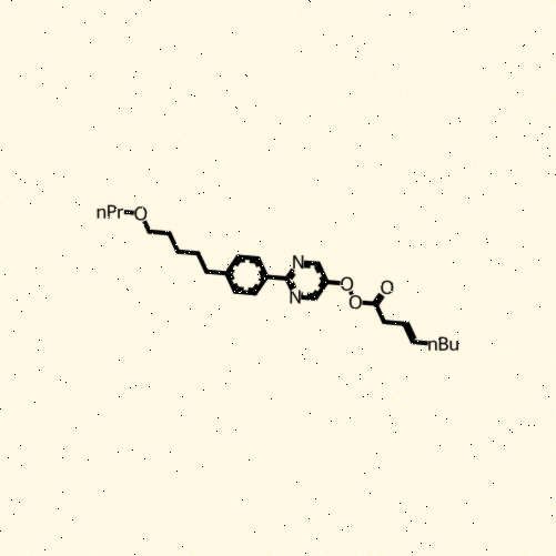 CCCCC=CCC(=O)OOc1cnc(-c2ccc(CCCCCOCCC)cc2)nc1